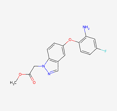 COC(=O)Cn1ncc2cc(Oc3ccc(F)cc3N)ccc21